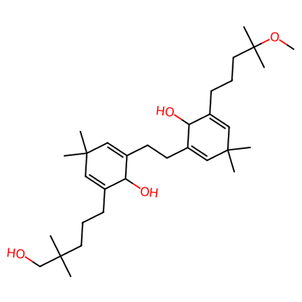 COC(C)(C)CCCC1=CC(C)(C)C=C(CCC2=CC(C)(C)C=C(CCCC(C)(C)CO)C2O)C1O